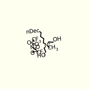 CCCCCCCCCCCCCC[N+](C)(CCO)CCO.O=S(=O)([N-]S(=O)(=O)C(F)(F)F)C(F)(F)F